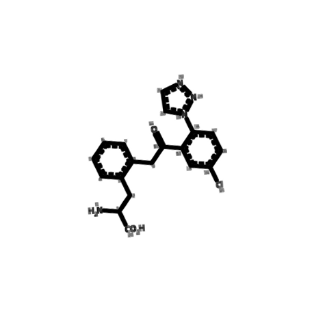 NC(Cc1ccccc1CC(=O)c1cc(Cl)ccc1-n1ccnn1)C(=O)O